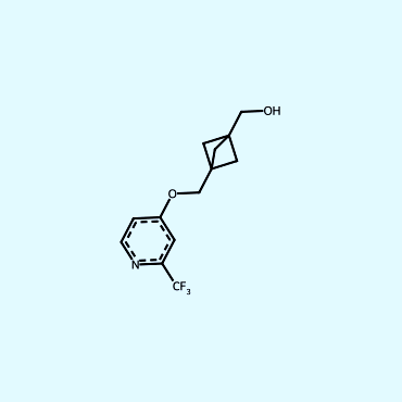 OCC12CC(COc3ccnc(C(F)(F)F)c3)(C1)C2